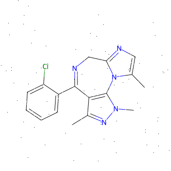 Cc1nn(C)c2c1C(c1ccccc1Cl)=NCc1ncc(C)n1-2